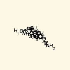 C/C(=N/OCC(C)N)[C@H]1CC[C@@]2(O)[C@@H]3CCC4CC(OCCCN)CC[C@]4(C)[C@H]3CC[C@]12C